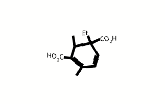 CCC1(C(=O)O)C=CC(C)=C(C(=O)O)C1C